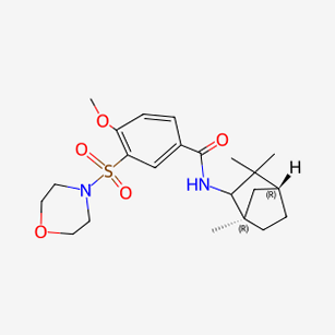 COc1ccc(C(=O)NC2C(C)(C)[C@@H]3CC[C@]2(C)C3)cc1S(=O)(=O)N1CCOCC1